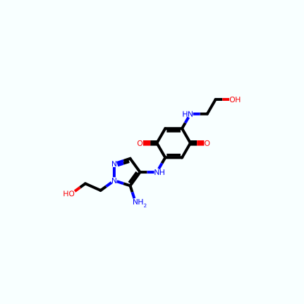 Nc1c(NC2=CC(=O)C(NCCO)=CC2=O)cnn1CCO